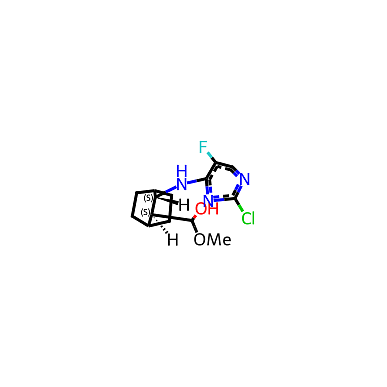 COC(O)[C@H]1C2CCC(CC2)[C@@H]1Nc1nc(Cl)ncc1F